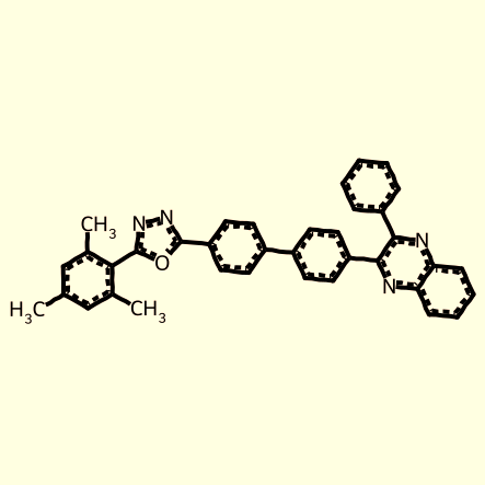 Cc1cc(C)c(-c2nnc(-c3ccc(-c4ccc(-c5nc6ccccc6nc5-c5ccccc5)cc4)cc3)o2)c(C)c1